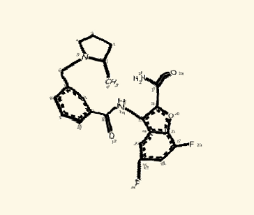 CC1CCCN1Cc1cccc(C(=O)Nc2c(C(N)=O)oc3c(F)cc(F)cc23)c1